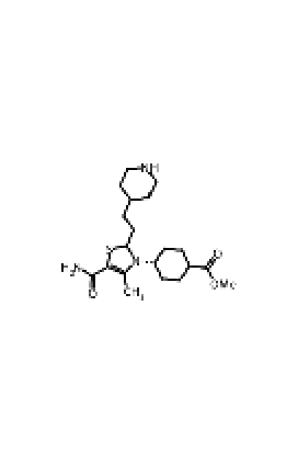 COC(=O)[C@H]1CC[C@H](N2C(C)=C(C(N)=O)SC2CCC2CCNCC2)CC1